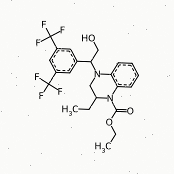 CCOC(=O)N1c2ccccc2N(C(CO)c2cc(C(F)(F)F)cc(C(F)(F)F)c2)CC1CC